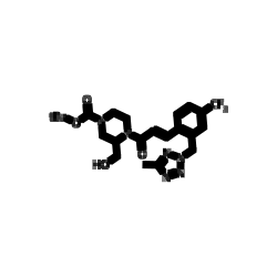 Cc1nnn(Cc2cc(C(F)(F)F)ccc2C=CC(=O)N2CCN(C(=O)OC(C)(C)C)CC2CO)n1